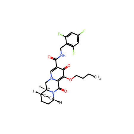 CCCCOc1c2n(cc(C(=O)NCc3c(F)cc(F)cc3F)c1=O)C[C@@H]1[C@H]3CC[C@H](CC3)N1C2=O